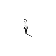 C[CH]=[Zn]=[O]